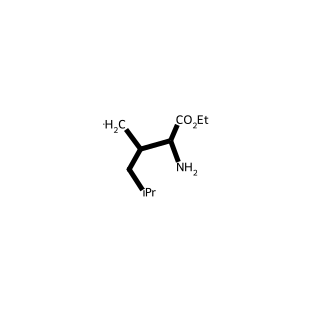 [CH2]C(CC(C)C)C(N)C(=O)OCC